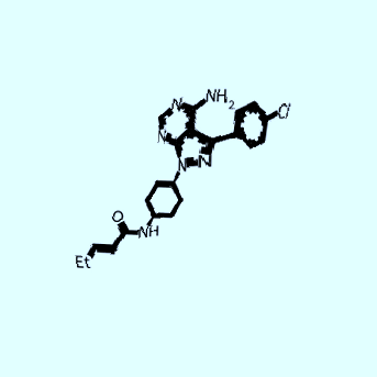 CC/C=C/C(=O)N[C@H]1CC[C@@H](n2nc(-c3ccc(Cl)cc3)c3c(N)ncnc32)CC1